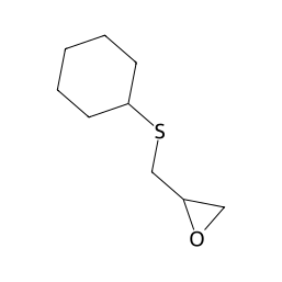 C1CCC(SCC2CO2)CC1